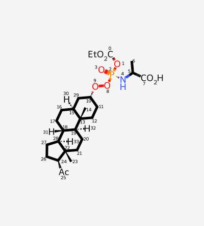 CCOC(=O)O[P@@](=O)(NC(C)C(=O)O)OO[C@@H]1CC[C@@]2(C)[C@@H](CC[C@@H]3[C@@H]2CC[C@]2(C)[C@@H](C(C)=O)CC[C@@H]32)C1